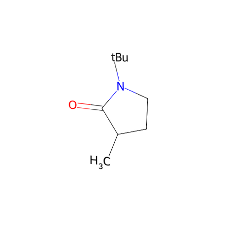 CC1CCN(C(C)(C)C)C1=O